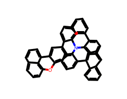 c1ccc(-c2ccccc2N(c2ccccc2-c2ccc3c(c2)-c2cccc4cccc(c24)O3)c2ccccc2-c2cccc3ccccc23)cc1